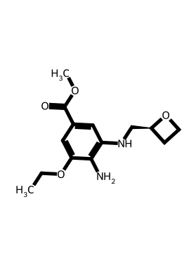 CCOc1cc(C(=O)OC)cc(NC[C@@H]2CCO2)c1N